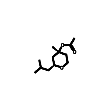 CC(=O)O[C@]1(C)CCO[C@@H](CC(C)C)C1